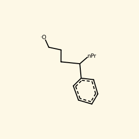 CCCC(CCC[O])c1ccccc1